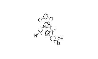 CC(C)(C#N)CCN(CC(=O)c1c(Cl)cccc1Cl)C(=O)c1cnn([C@H]2CC[C@](C)(C(=O)O)CC2)c1C(F)(F)F